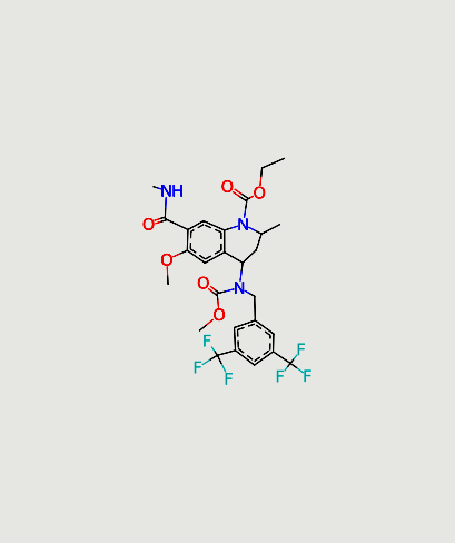 CCOC(=O)N1c2cc(C(=O)NC)c(OC)cc2C(N(Cc2cc(C(F)(F)F)cc(C(F)(F)F)c2)C(=O)OC)CC1C